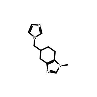 Cn1cnc2c1CCC(Cn1ccnc1)C2